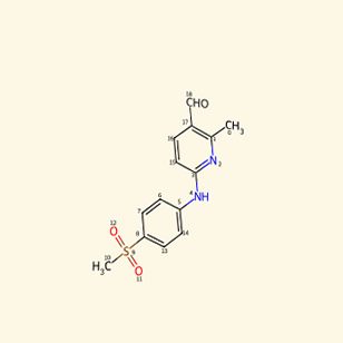 Cc1nc(Nc2ccc(S(C)(=O)=O)cc2)ccc1C=O